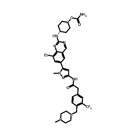 CCc1cc(-c2cc(NC(=O)Cc3ccc(CN4CCN(C)CC4)c(C(F)(F)F)c3)nn2C)cc2cnc(N[C@H]3CC[C@H](OC(N)=O)CC3)nc12